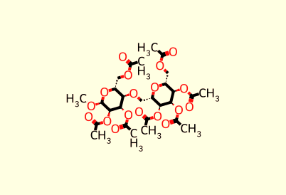 CO[C@H]1O[C@H](COC(C)=O)[C@@H](OC[C@@H]2O[C@H](COC(C)=O)[C@@H](OC(C)=O)[C@H](OC(C)=O)[C@@H]2OC(C)=O)[C@H](OC(C)=O)[C@H]1OC(C)=O